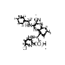 Cc1cc([C@@H](C)Nc2ccc(Cl)nc2C(=O)O)c2nc(NC(C)c3cccnc3)c(C#N)nc2c1